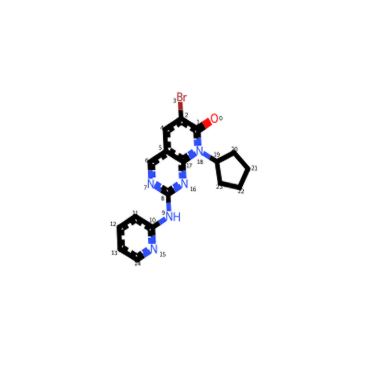 O=c1c(Br)cc2cnc(Nc3ccccn3)nc2n1C1CCCC1